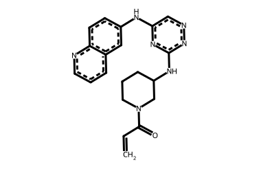 C=CC(=O)N1CCCC(Nc2nncc(Nc3ccc4ncccc4c3)n2)C1